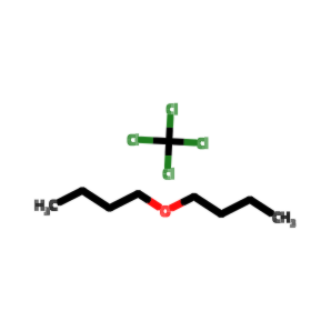 CCCCOCCCC.ClC(Cl)(Cl)Cl